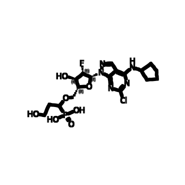 O=P(O)(O)C(CCO)OC[C@H]1O[C@@H](n2ncc3c(NC4CCCC4)nc(Cl)nc32)[C@@H](F)[C@@H]1O